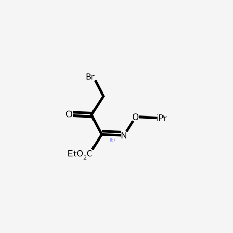 CCOC(=O)/C(=N/OC(C)C)C(=O)CBr